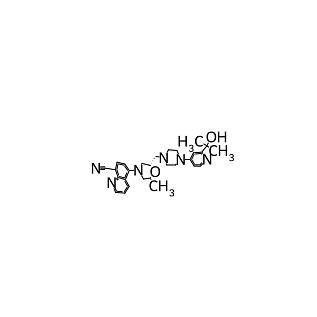 C[C@@H]1CN(c2ccc(C#N)c3ncccc23)C[C@H](CN2CCN(c3ccnc(C(C)(C)O)c3)CC2)O1